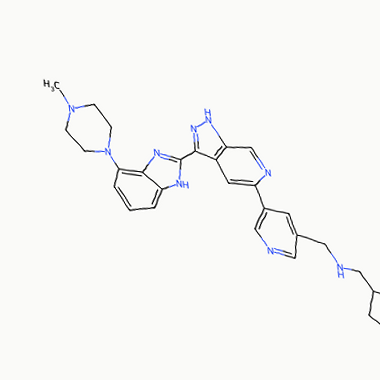 CN1CCN(c2cccc3[nH]c(-c4n[nH]c5cnc(-c6cncc(CNCC7CCCC7)c6)cc45)nc23)CC1